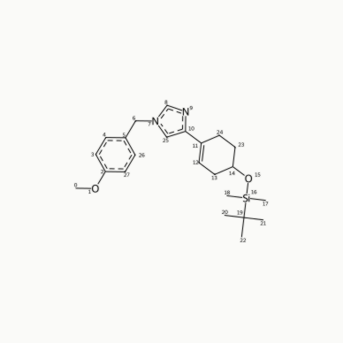 COc1ccc(Cn2cnc(C3=CCC(O[Si](C)(C)C(C)(C)C)CC3)c2)cc1